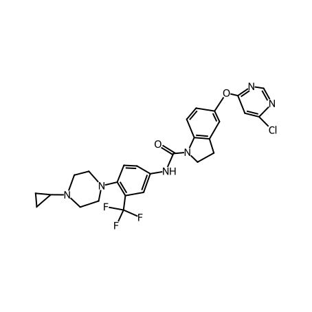 O=C(Nc1ccc(N2CCN(C3CC3)CC2)c(C(F)(F)F)c1)N1CCc2cc(Oc3cc(Cl)ncn3)ccc21